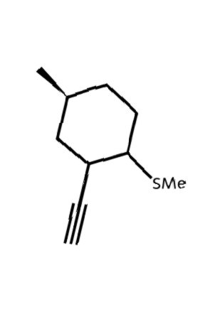 C#CC1C[C@@H](C)CCC1SC